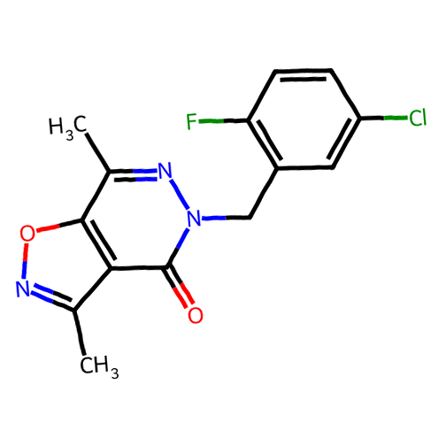 Cc1nn(Cc2cc(Cl)ccc2F)c(=O)c2c(C)noc12